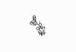 Cc1ccc(NC(=O)c2ccnc(C(F)(F)F)c2)cc1-c1cnc2c(c1)N1CCOCC1CC2=O